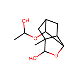 CC(O)OC1C2CC3C1OC(O)C3(C)C2